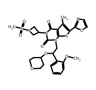 COc1ccccc1C(Cn1c(=O)n(C2CN(S(C)(=O)=O)C2)c(=O)c2c(C)c(-c3ncco3)sc21)OC1CCOCC1